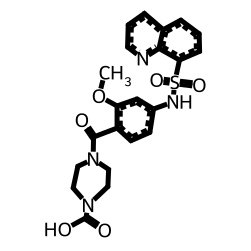 COc1cc(NS(=O)(=O)c2cccc3cccnc23)ccc1C(=O)N1CCN(C(=O)O)CC1